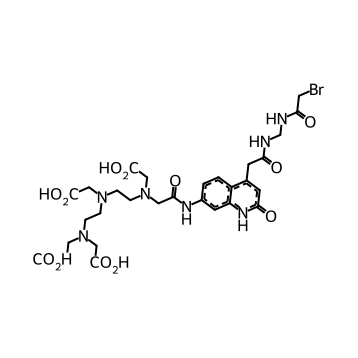 O=C(O)CN(CCN(CC(=O)O)CC(=O)O)CCN(CC(=O)O)CC(=O)Nc1ccc2c(CC(=O)NCNC(=O)CBr)cc(=O)[nH]c2c1